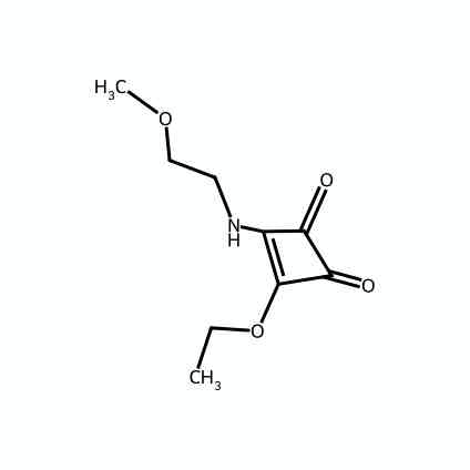 CCOc1c(NCCOC)c(=O)c1=O